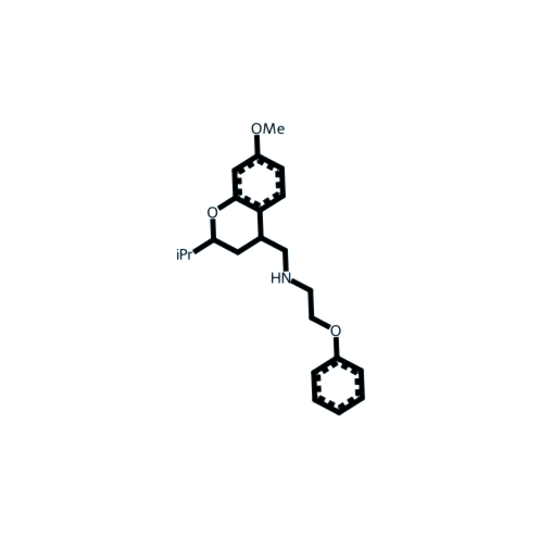 COc1ccc2c(c1)OC(C(C)C)CC2CNCCOc1ccccc1